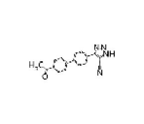 CC(=O)c1ccc(-c2ccc(-c3nn[nH]c3C#N)cc2)cc1